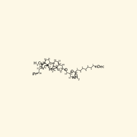 CCCCCCCCCCCCCCCCCC(=O)OC(CN)COC1CC[C@@]2(C)C(=CCC3C2CC[C@@]2(C)C3CC[C@@H]2[C@H](C)CCCC(C)C)C1